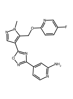 Cn1ncc(-c2nc(-c3ccnc(N)c3)no2)c1COc1ccc(F)cn1